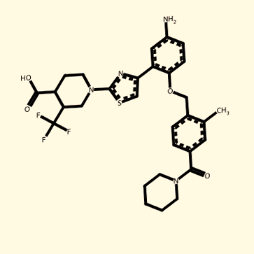 Cc1cc(C(=O)N2CCCCC2)ccc1COc1ccc(N)cc1-c1csc(N2CCC(C(=O)O)C(C(F)(F)F)C2)n1